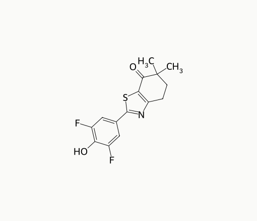 CC1(C)CCc2nc(-c3cc(F)c(O)c(F)c3)sc2C1=O